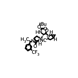 C[C@H](c1cccc(C(F)(F)F)c1)N1C(=O)[C@@H]2CC1CN2C[C@H](NC(=O)OC(C)(C)C)C(=O)N1[C@H](C#N)C[C@@H]2C[C@@H]21